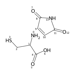 NC(CS)C(=O)O.O=C1C=CC(=O)N1